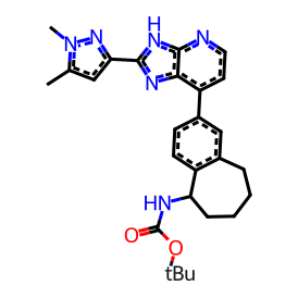 Cc1cc(-c2nc3c(-c4ccc5c(c4)CCCCC5NC(=O)OC(C)(C)C)ccnc3[nH]2)nn1C